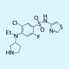 CCN(c1cc(F)c(S(=O)(=O)Nc2cscn2)cc1Cl)C1CCNC1